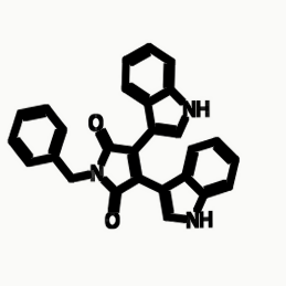 O=C1C(c2c[nH]c3ccccc23)=C(c2c[nH]c3ccccc23)C(=O)N1Cc1ccccc1